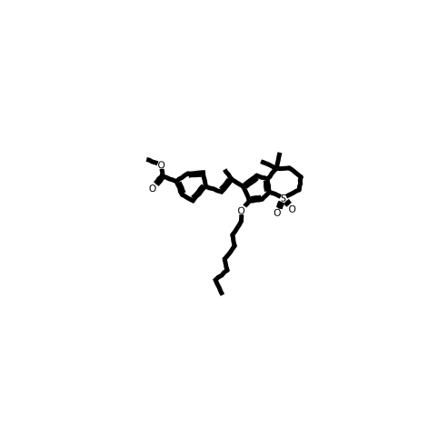 CCCCCCCOc1cc2c(cc1C(C)=Cc1ccc(C(=O)OC)cc1)C(C)(C)CCCS2(=O)=O